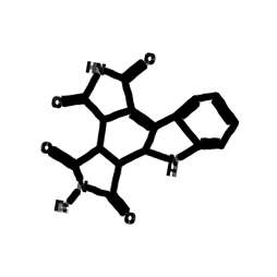 CCN1C(=O)C2C3Nc4ccccc4C3=C3C(=O)NC(=O)C3C2C1=O